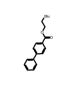 CC(C)(C)CCOC(=O)c1ccc(-c2ccccc2)cc1